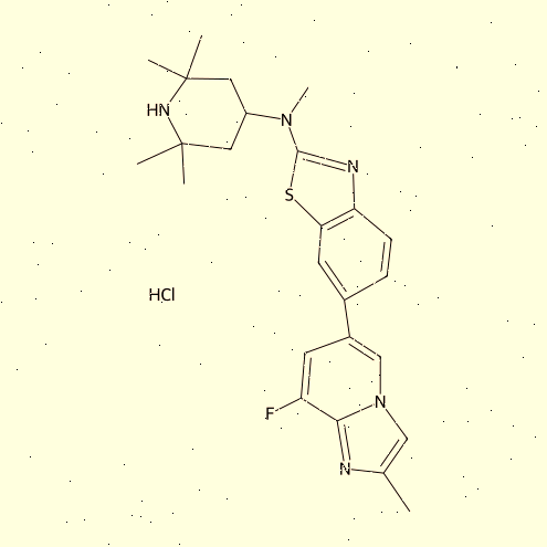 Cc1cn2cc(-c3ccc4nc(N(C)C5CC(C)(C)NC(C)(C)C5)sc4c3)cc(F)c2n1.Cl